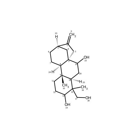 C=C1C[C@@]23C[C@H]1CC[C@@H]2[C@@]1(C)CCC(O)C(C)(CO)[C@@H]1CC3O